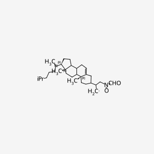 [CH2]C(C[N+](=O)C=O)C1CC[C@@]2(C)C(=CCC3C2CC[C@@]2(C)C3CC[C@@H]2[C@H](C)CCCC(C)C)C1